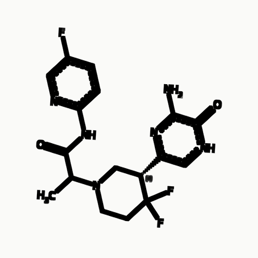 CC(C(=O)Nc1ccc(F)cn1)N1CCC(F)(F)[C@@H](c2c[nH]c(=O)c(N)n2)C1